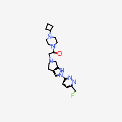 O=C(CN1CCc2cn(-c3ccc(CF)nn3)nc2C1)N1CCN(C2CCC2)CC1